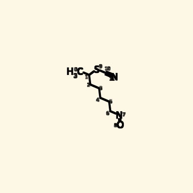 CC(CCCCCN=O)SC#N